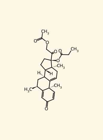 CCC(=O)O[C@]1(C(=O)COC(C)=O)CC[C@H]2[C@@H]3C[C@H](C)C4=CC(=O)C=C[C@]4(C)C3=CC[C@@]21C